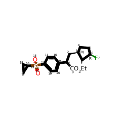 CCOC(=O)C(C[C@H]1CC[C@@H](F)C1)c1ccc(S(=O)(=O)C2CC2)cc1